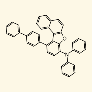 c1ccc(-c2ccc(-c3ccc(N(c4ccccc4)c4ccccc4)c4oc5ccc6ccccc6c5c34)cc2)cc1